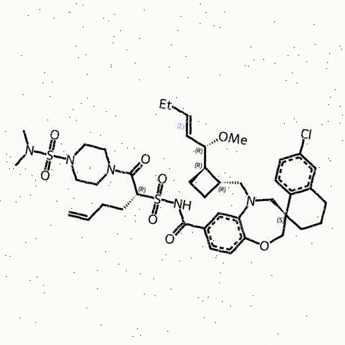 C=CCC[C@H](C(=O)N1CCN(S(=O)(=O)N(C)C)CC1)S(=O)(=O)NC(=O)c1ccc2c(c1)N(C[C@@H]1CC[C@H]1[C@H](/C=C/CC)OC)C[C@@]1(CCCc3cc(Cl)ccc31)CO2